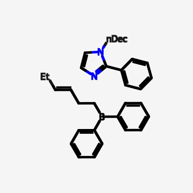 CCC=CCCB(c1ccccc1)c1ccccc1.CCCCCCCCCCn1ccnc1-c1ccccc1